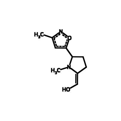 Cc1cc(C2CCC(=CO)N2C)on1